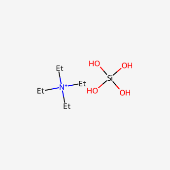 CC[N+](CC)(CC)CC.O[Si](O)(O)O